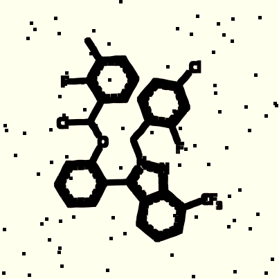 Cc1cccc(C(Cl)Oc2ccccc2-c2c3cccc(C(F)(F)F)c3nn2Cc2ccc(Cl)cc2F)c1F